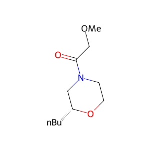 CCCC[C@@H]1CN(C(=O)COC)CCO1